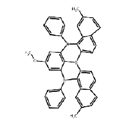 Cc1ccc2ccc3c(c2c1)N(c1ccccc1)c1cc(OC(F)(F)F)cc2c1B3c1ccc3ccc(C)cc3c1N2c1ccccc1